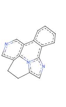 c1ccc2c(c1)c1cncc3c1n1c(cnc21)CC3